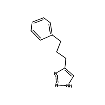 c1ccc(CCCc2c[nH]nn2)cc1